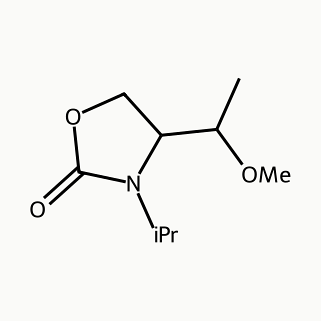 COC(C)C1COC(=O)N1C(C)C